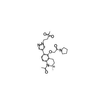 CC(=O)N1c2ccc(-c3cnn(CCS(C)(=O)=O)c3)c(OCC(=O)N3CCCC3)c2CC[C@@H]1C